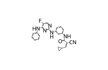 N#C/C(=C/C1CC1)C(=O)Nc1cccc(Nc2ncc(F)c(Nc3ccccc3)n2)c1